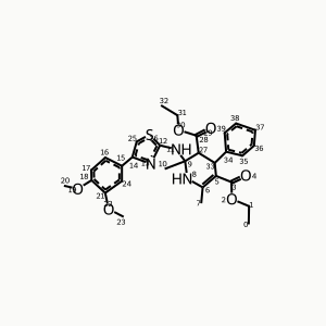 CCOC(=O)C1=C(C)NC(C)(Nc2nc(-c3ccc(OC)c(OC)c3)cs2)C(C(=O)OCC)C1c1ccccc1